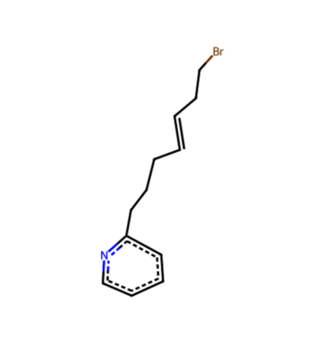 BrCC/C=C/CCCc1ccccn1